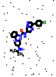 CC(C)NC1CCN(c2ccccc2NC(=O)Nc2cnc3c(-c4ccc(Cl)cc4)cnn3c2)CC1